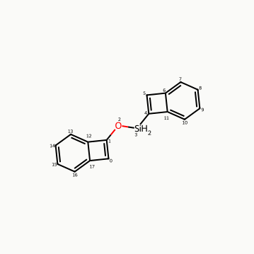 C1=C(O[SiH2]C2=Cc3ccccc32)c2ccccc21